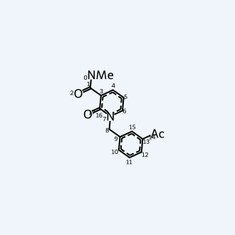 CNC(=O)c1cccn(Cc2cccc(C(C)=O)c2)c1=O